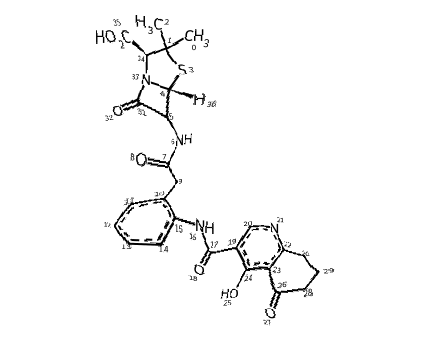 CC1(C)S[C@@H]2C(NC(=O)Cc3ccccc3NC(=O)c3cnc4c(c3O)C(=O)CCC4)C(=O)N2[C@H]1C(=O)O